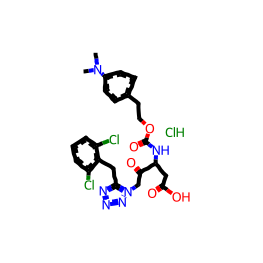 CN(C)c1ccc(CCOC(=O)NC(CC(=O)O)C(=O)Cn2nnnc2Cc2c(Cl)cccc2Cl)cc1.Cl